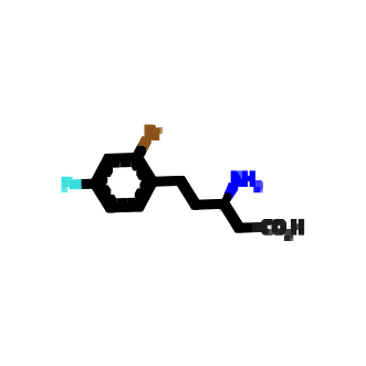 N[C@H](CCc1ccc(F)cc1Br)CC(=O)O